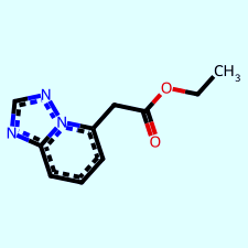 CCOC(=O)Cc1cccc2ncnn12